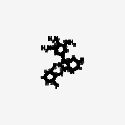 Nc1nc(-c2nn(Cc3c(F)cccc3F)c3ncc(F)cc23)nc(N)c1N